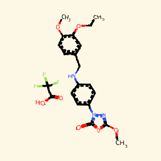 CCOc1cc(CNc2ccc(-n3nc(OC)oc3=O)cc2)ccc1OC.O=C(O)C(F)(F)F